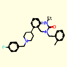 CCNC(=O)N(Cc1ccccc1C)Cc1ccccc1C1CCN(Cc2ccc(F)cc2)CC1